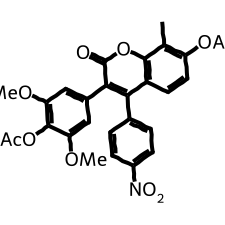 COc1cc(-c2c(-c3ccc([N+](=O)[O-])cc3)c3ccc(OC(C)=O)c(C)c3oc2=O)cc(OC)c1OC(C)=O